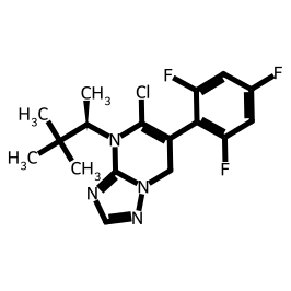 C[C@@H](N1C(Cl)=C(c2c(F)cc(F)cc2F)Cn2ncnc21)C(C)(C)C